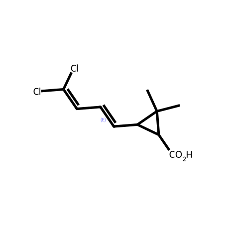 CC1(C)C(/C=C/C=C(Cl)Cl)C1C(=O)O